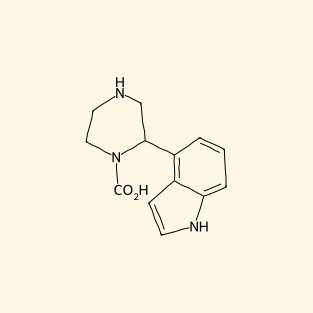 O=C(O)N1CCNCC1c1cccc2[nH]ccc12